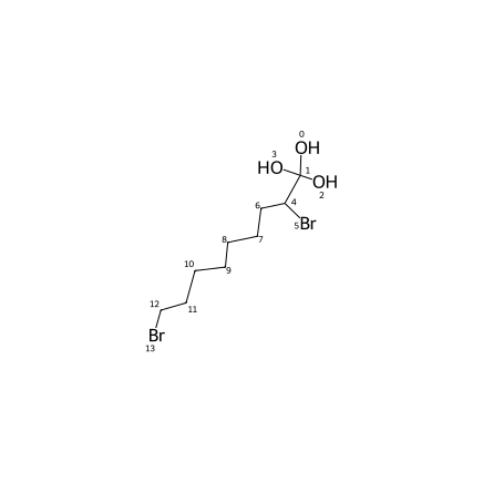 OC(O)(O)C(Br)CCCCCCCBr